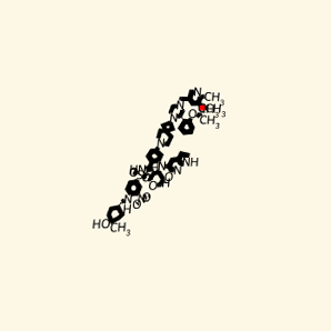 COc1cc(CN2CCN(C3CC4(CCN(c5ccc(C(=O)NS(=O)(=O)c6ccc(NC[C@H]7CC[C@](C)(O)CC7)c([N+](=O)[O-])c6)c(N6c7cc8cc[nH]c8nc7O[C@H]7COCC[C@@H]76)c5)CC4)C3)[C@@H](c3ccccc3OC(C)C)C2)cnc1C